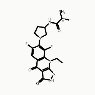 CCn1c2s[nH]c(=O)c2c(=O)c2cc(F)c(N3CCC(NC(=O)[C@H](C)N)C3)c(F)c21